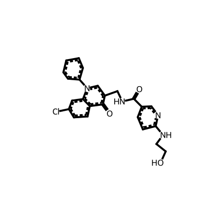 O=C(NCc1cn(-c2ccccc2)c2cc(Cl)ccc2c1=O)c1ccc(NCCO)nc1